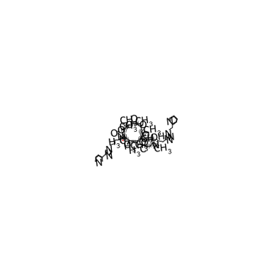 CC[C@H]1OC(=O)[C@H](C)C(=O)[C@H](C)[C@@H](O[C@@H]2O[C@H](C)C[C@H](N(C)CCc3cn(CCc4ccccn4)nn3)[C@H]2O)[C@](C)(OC)C[C@@H](C)C(=O)[C@H](C)[C@H]2N(CCCCn3cnc(-c4cccnc4)c3)C(=O)O[C@]12C